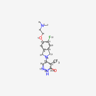 CN(C)CCOc1cc2c(cc1F)CN(c1cn[nH]c(=O)c1C(F)(F)F)C2